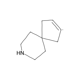 [C]1=CCC2(C1)CCNCC2